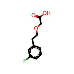 O=C(O)COCCc1cccc(F)c1